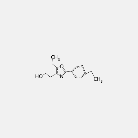 CCc1ccc(-c2nc(CCO)c(CC)o2)cc1